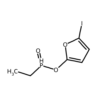 CC[PH](=O)Oc1ccc(I)o1